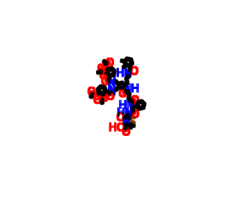 CC(=O)Oc1cccc(C(=O)NCCCC(CCCNC(=O)c2cccc(C)c2C)(CCCNC(=O)c2cccc(OC(C)=O)c2OC(C)=O)NC(=O)CCC(=O)NC(C(=O)NC2C(=O)N3C2SC(C)(C)C3C(=O)O)c2ccccc2)c1OC(C)=O